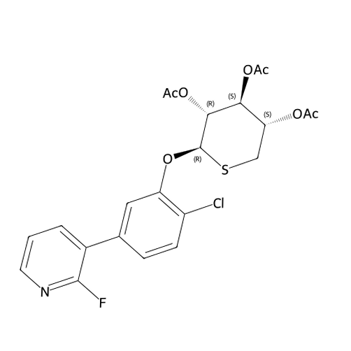 CC(=O)O[C@@H]1[C@@H](OC(C)=O)[C@H](OC(C)=O)CS[C@H]1Oc1cc(-c2cccnc2F)ccc1Cl